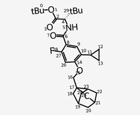 CC(C)(C)OC(=O)[C@@H](NC(=O)c1cc(C2CC2)c(OCC23CC4CC(CC2C4)C3)cc1F)C(C)(C)C